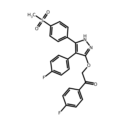 CS(=O)(=O)c1ccc(-c2[nH]nc(OCC(=O)c3ccc(F)cc3)c2-c2ccc(F)cc2)cc1